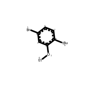 CCOc1cc(Br)ccc1C(C)(C)C